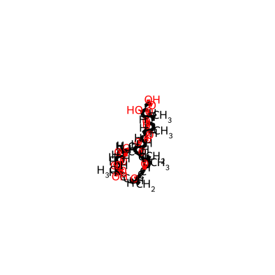 C=C1C[C@@H]2CC[C@]34OC5[C@@H]6O[C@H]7CC[C@H](CC(=O)C[C@@H]8[C@@H](C)[C@@H]9O[C@@H]%10C[C@]%11(C[C@@H]%12O[C@]%13(C[C@H](C)[C@@H]%14O[C@H](CC(=O)O)[C@H](O)C[C@@H]%14O%13)C[C@H](C)[C@@H]%12O%11)O[C@@H]%10C[C@@H]9O[C@H]8C[C@H]8O[C@@H](CC[C@@H]1O2)C[C@@H](C)C8=C)O[C@@H]7[C@H](O3)[C@@H]6O[C@@]5(C)[C@H]4O